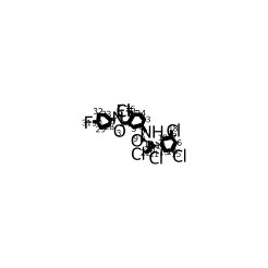 CCN(C(=O)c1cc(NC(=O)[C@H]2[C@H](c3cc(Cl)cc(Cl)c3)C2(Cl)Cl)ccc1Cl)c1ccc(F)cc1